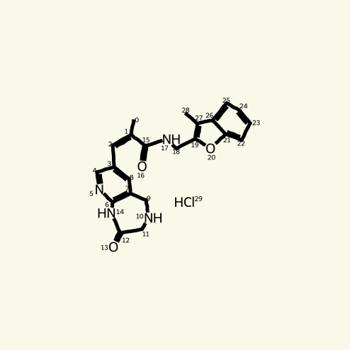 CC(=Cc1cnc2c(c1)CNCC(=O)N2)C(=O)NCc1oc2ccccc2c1C.Cl